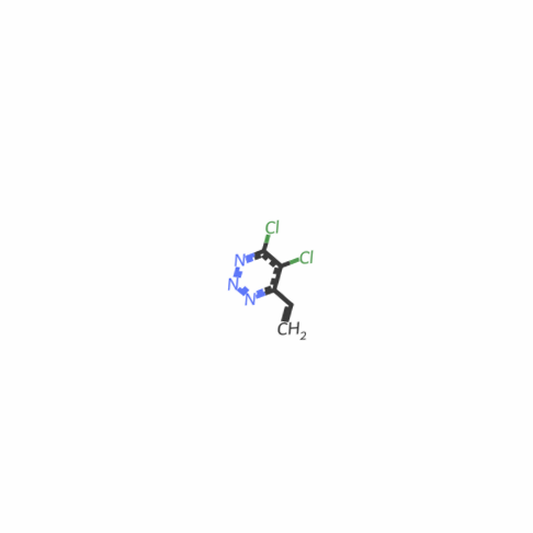 C=Cc1nnnc(Cl)c1Cl